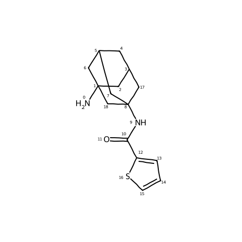 NC12CC3CC(C1)CC(NC(=O)c1cccs1)(C3)C2